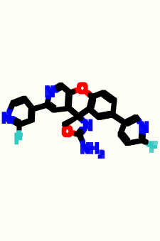 NC1=N[C@@]2(CO1)c1cc(-c3ccc(F)nc3)ccc1Oc1cnc(-c3ccnc(F)c3)cc12